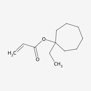 C=CC(=O)OC1(CC)CCCCCC1